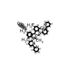 CC=[N+](c1cccc(-c2ccccn2)n1)c1c(C)cc(C)cc1Cc1cc(C)cc(C)c1[N+](=CC)c1cccc(-c2ccccn2)n1.[Cl-].[Cl-].[Cl-].[Cl-].[Co].[Co]